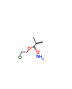 C=C(C)C(=O)OCCCl.N